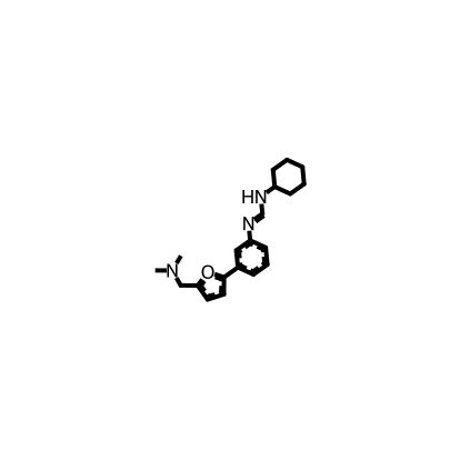 CN(C)Cc1ccc(-c2cccc(N=CNC3CCCCC3)c2)o1